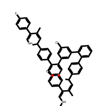 CN/C=C(\C(C)=C/C(C)c1ccc(-c2ccccc2-c2cc(Cl)cc(-c3ccccc3-c3ccc(C(C)/C=C(C)\C(=C/N)c4ccc(F)cc4)cc3)c2)cc1)c1ccc(F)cc1